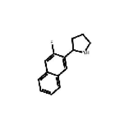 Fc1cc2ccccc2cc1C1CCCN1